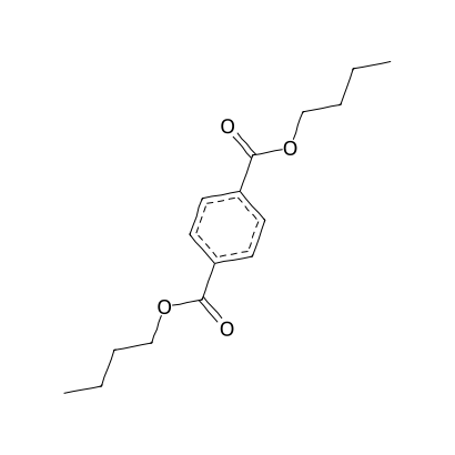 CCCCOC(=O)c1ccc(C(=O)OCCCC)cc1